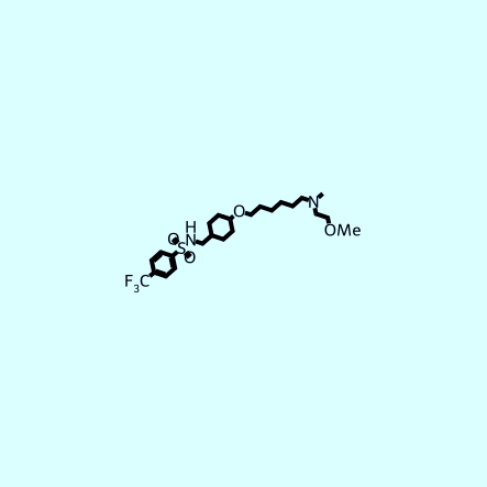 COCCN(C)CCCCCCOC1CCC(CNS(=O)(=O)c2ccc(C(F)(F)F)cc2)CC1